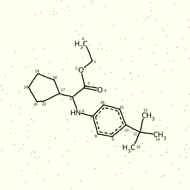 CCOC(=O)C(Nc1ccc(C(C)(C)C)cc1)C1CCCCC1